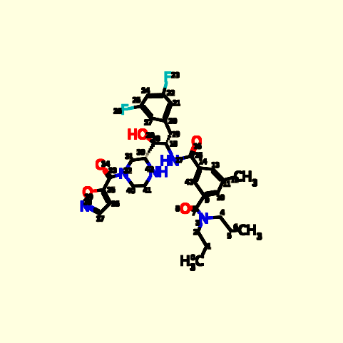 CCCN(CCC)C(=O)c1cc(C)cc(C(=O)N[C@@H](Cc2cc(F)cc(F)c2)C(O)[C@H]2CN(C(=O)c3ccno3)CCN2)c1